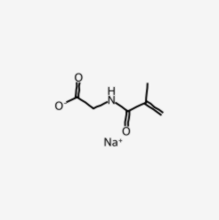 C=C(C)C(=O)NCC(=O)[O-].[Na+]